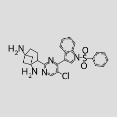 NC12CCC(c3ncc(Cl)c(-c4cn(S(=O)(=O)c5ccccc5)c5ccccc45)n3)C(N)(C1)C2